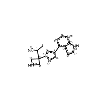 CC(C#N)C1(n2cc(-c3ncnc4[nH]ccc34)cn2)CNC1